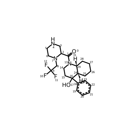 O=C(C1CNCCN1CC(F)(F)F)N1CCC(O)(c2ccccc2)[C@H]2CCCC[C@H]21